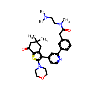 CCN(CC)CCN(C)C(=O)Cc1cccc(-c2cc(-c3c(N4CCOCC4)sc4c3CC(C)(C)CC4=O)ccn2)c1